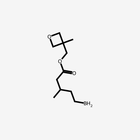 BCCC(C)CC(=O)OCC1(C)COC1